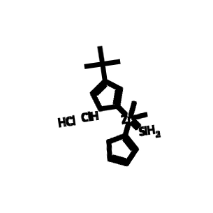 CC(C)(C)C1=CC[C]([Zr]([CH3])([CH3])(=[SiH2])[C]2=CC=CC2)=C1.Cl.Cl